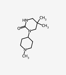 CN1CCC(N2CC(C)(C)CNC2=O)CC1